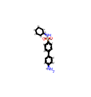 Nc1ccc(-c2ccc(S(=O)(=O)NC3CCCCC3)cc2)cc1